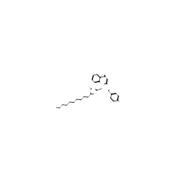 CCCCCCCCCCC1NC(Cn2c(SCc3ccc(F)cc3)cc(=O)c3ccccc32)=NO1